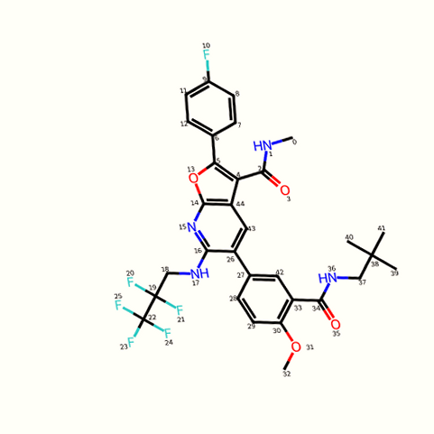 CNC(=O)c1c(-c2ccc(F)cc2)oc2nc(NCC(F)(F)C(F)(F)F)c(-c3ccc(OC)c(C(=O)NCC(C)(C)C)c3)cc12